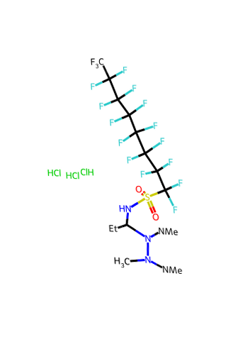 CCC(NS(=O)(=O)C(F)(F)C(F)(F)C(F)(F)C(F)(F)C(F)(F)C(F)(F)C(F)(F)C(F)(F)F)N(NC)N(C)NC.Cl.Cl.Cl